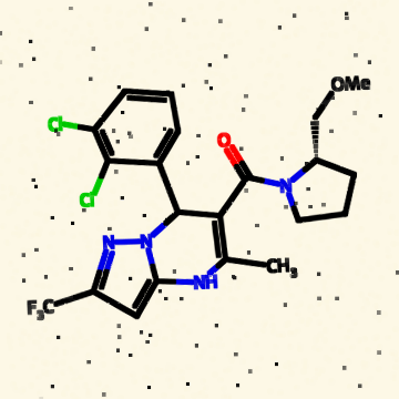 COC[C@@H]1CCCN1C(=O)C1=C(C)Nc2cc(C(F)(F)F)nn2C1c1cccc(Cl)c1Cl